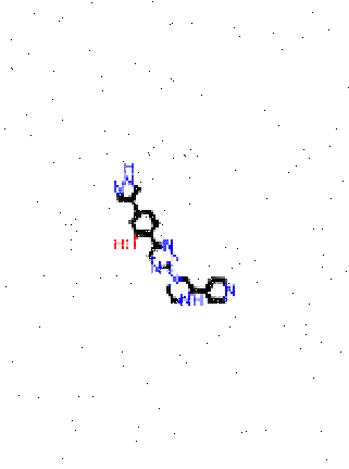 Oc1cc(-c2cn[nH]c2)ccc1-c1cnc(N2CCNC(c3ccncc3)C2)nn1